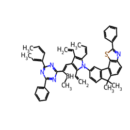 C=Cc1c(/C=C(\BC)c2nc(C(/C=C\C)=C/C)nc(-c3ccccc3)n2)c(C=C)n(-c2ccc3c(c2)-c2c(ccc4nc(-c5ccccc5)sc24)C3(C)C)c1/C=C\C